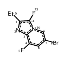 CCc1nc2c(F)cc(Br)cn2c1F